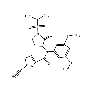 C#Cc1nc(C(=O)N(c2cc(OC)cc(OC)c2)C2CCN(S(=O)(=O)C(C)C)C2=O)cs1